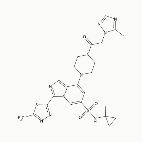 Cc1ncnn1CC(=O)N1CCN(c2cc(S(=O)(=O)NC3(C)CC3)cn3c(-c4nnc(C(F)(F)F)s4)ncc23)CC1